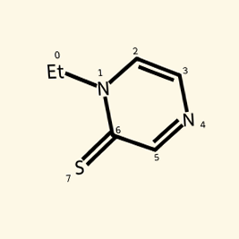 CCn1ccncc1=S